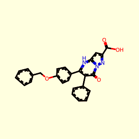 O=C(O)c1cc2[nH]c(-c3ccc(OCc4ccccc4)cc3)c(-c3ccccc3)c(=O)n2n1